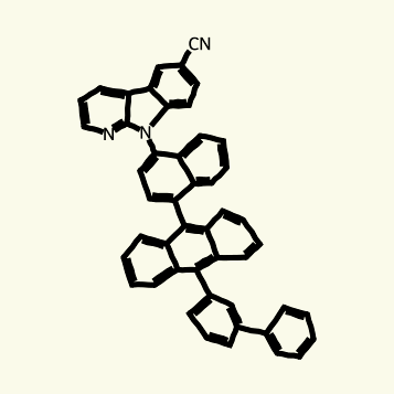 N#Cc1ccc2c(c1)c1cccnc1n2-c1ccc(-c2c3ccccc3c(-c3cccc(-c4ccccc4)c3)c3ccccc23)c2ccccc12